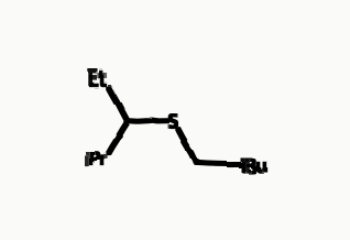 CCC(C)CSC(CC)C(C)C